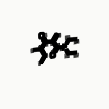 C=C(C(=O)C(C)CC)C(=O)P(CC)CC